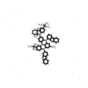 Cc1cc2c3c(c1)N(c1cccc4c1sc1ccccc14)c1cc(N4c5ccc(C(C)(C)C)cc5C5(C)CCCCC45C)ccc1B3c1cc(C(C)(C)C)ccc1N2c1ccc2c(c1)sc1ccccc12